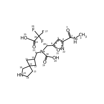 CNC(=O)c1cc(CN(CC2CC3(CCNC3)C2)C(=O)O)on1.O=C(O)C(F)(F)F